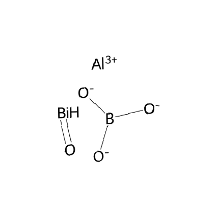 [Al+3].[O-]B([O-])[O-].[O]=[BiH]